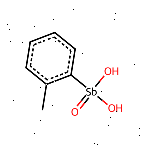 Cc1cccc[c]1[Sb](=[O])([OH])[OH]